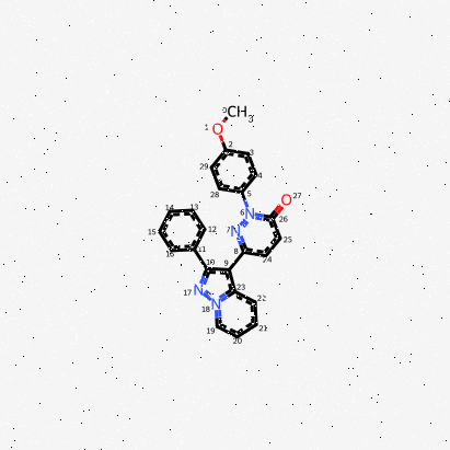 COc1ccc(-n2nc(-c3c(-c4ccccc4)nn4ccccc34)ccc2=O)cc1